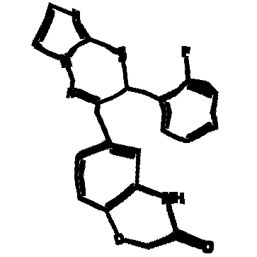 O=C1COc2ccc(C3=Nn4ccnc4SC3c3ccccc3F)cc2N1